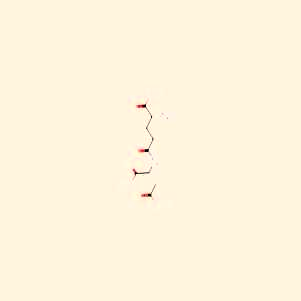 N[C@H](CCC(=O)N[C@H](CC(=O)O)C(=O)O)C(=O)O